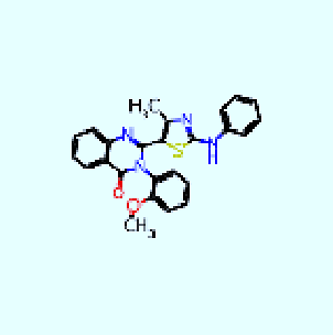 COc1ccccc1-n1c(-c2sc(Nc3ccccc3)nc2C)nc2ccccc2c1=O